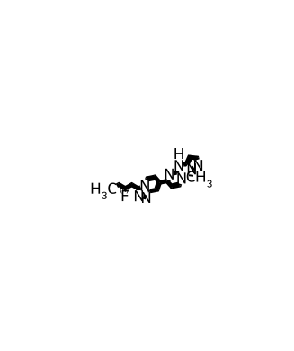 CC[C@@H](F)Cc1nnc2cc(-c3ccnc(Nc4ccnn4C)n3)ccn12